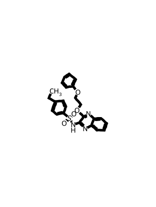 CCc1ccc(S(=O)(=O)Nc2nc3ccccc3nc2OCCOc2ccccc2)cc1